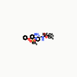 CC(C)(C)OC(=O)NC[C@@H]1CCCN(c2c(N)ccc(Oc3ccccc3)c2S(C)(=O)=O)C1